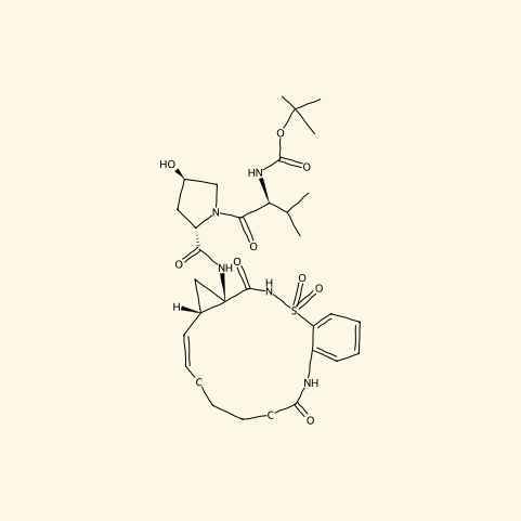 CC(C)[C@H](NC(=O)OC(C)(C)C)C(=O)N1C[C@H](O)C[C@H]1C(=O)N[C@]12C[C@H]1/C=C\CCCCC(=O)Nc1ccccc1S(=O)(=O)NC2=O